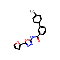 O=C(Nc1nnc(-c2ccco2)o1)c1cccc(-c2ccc(C(F)(F)F)cc2)c1